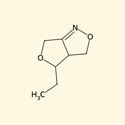 CCC1OCC2=NOCC21